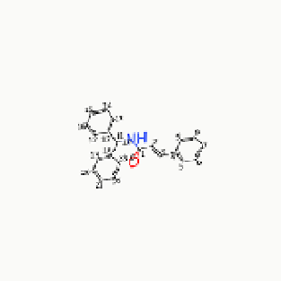 O=C(C=Cc1ccccc1)NC(c1ccccc1)c1ccccc1